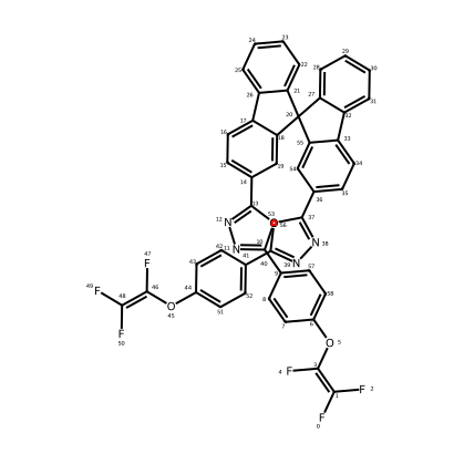 FC(F)=C(F)Oc1ccc(-c2nnc(-c3ccc4c(c3)C3(c5ccccc5-4)c4ccccc4-c4ccc(-c5nnc(-c6ccc(OC(F)=C(F)F)cc6)o5)cc43)o2)cc1